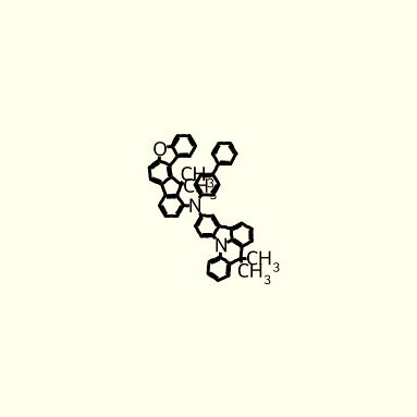 CC1(C)c2c(cccc2N(c2ccc(-c3ccccc3)cc2)c2ccc3c(c2)c2cccc4c2n3-c2ccccc2C4(C)C)-c2ccc3oc4ccccc4c3c21